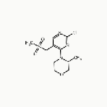 CC1COCCN1c1nc(Cl)ncc1CS(C)(=O)=O